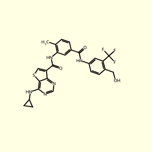 Cc1ccc(C(=O)Nc2ccc(CO)c(C(F)(F)F)c2)cc1NC(=O)c1csc2c(NC3CC3)ncnc12